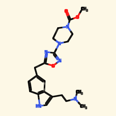 COC(=O)N1CCN(c2noc(Cc3ccc4[nH]cc(CCN(C)C)c4c3)n2)CC1